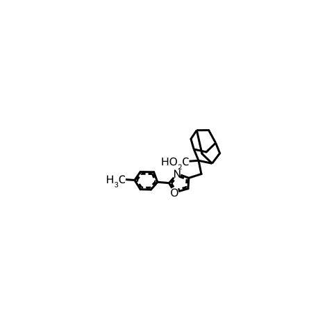 Cc1ccc(-c2nc(CC3(C(=O)O)C4CC5CC(C4)CC3C5)co2)cc1